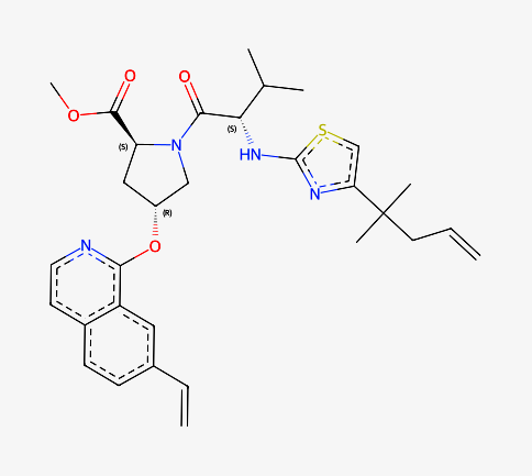 C=CCC(C)(C)c1csc(N[C@H](C(=O)N2C[C@H](Oc3nccc4ccc(C=C)cc34)C[C@H]2C(=O)OC)C(C)C)n1